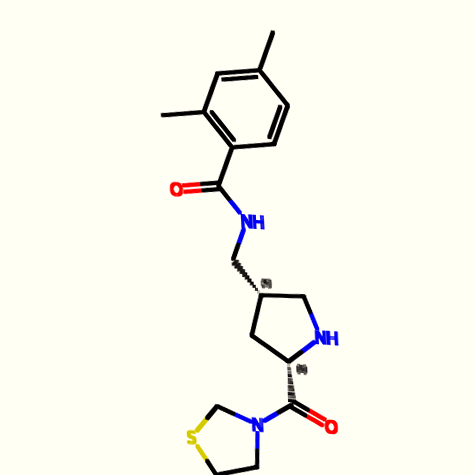 Cc1ccc(C(=O)NC[C@@H]2CN[C@H](C(=O)N3CCSC3)C2)c(C)c1